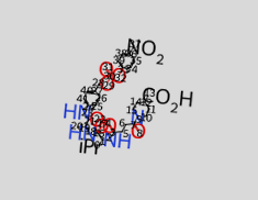 CC(C)[C@H](NC(=O)CCC(=O)N1CCC(C(=O)O)CC1)C(=O)N[C@@H](C)C(=O)Nc1ccc(COC(=O)Oc2ccc([N+](=O)[O-])cc2)cc1